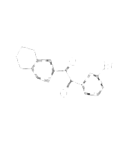 O=C(C(=O)c1ccc2c(c1)CCCC2)c1cccc(Br)c1